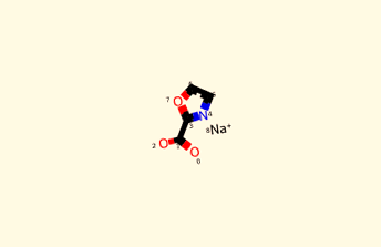 O=C([O-])c1ncco1.[Na+]